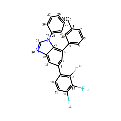 N#Cc1cccc(-c2cc(-c3ccc(F)c(F)c3F)cc3ncn(-c4ccccc4)c23)c1